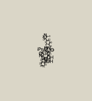 Cc1ncsc1-c1ccc(CNC(=O)[C@@H]2C[C@@H](O)CN2C(=O)C(c2cc(OCc3ccccc3B(O)O)no2)C(C)C)cc1